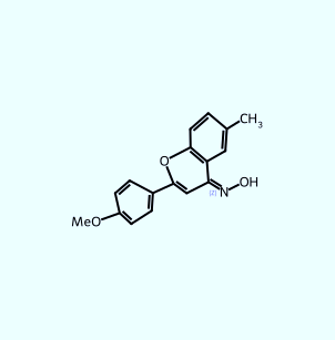 COc1ccc(-c2c/c(=N/O)c3cc(C)ccc3o2)cc1